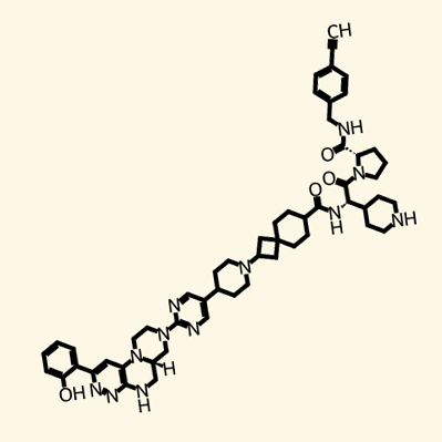 C#Cc1ccc(CNC(=O)[C@@H]2CCCN2C(=O)[C@@H](NC(=O)C2CCC3(CC2)CC(N2CCC(c4cnc(N5CCN6c7cc(-c8ccccc8O)nnc7NC[C@H]6C5)nc4)CC2)C3)C2CCNCC2)cc1